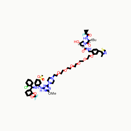 COc1nc(Nc2cc(S(C)(=O)=O)ccc2NC(c2ccccc2Cl)c2cccc3c2OC(F)(F)O3)nc(N2CCN(CCOCCOCCOCCOCCOCCOc3cc(-c4scnc4C)ccc3CNC(=O)[C@@H]3C[C@@H](O)CN3C(=O)[C@@H](NC(=O)C3(F)CC3)C(C)(C)C)CC2)n1